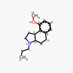 CCCN1CCC2c3c(cccc3OC)CCC21